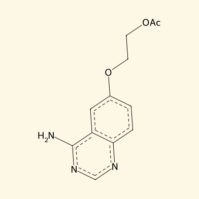 CC(=O)OCCOc1ccc2ncnc(N)c2c1